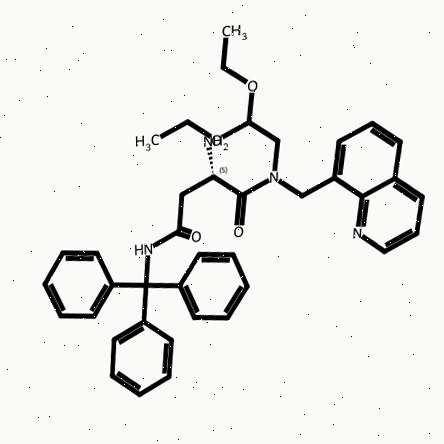 CCOC(CN(Cc1cccc2cccnc12)C(=O)[C@@H](N)CC(=O)NC(c1ccccc1)(c1ccccc1)c1ccccc1)OCC